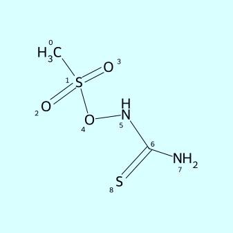 CS(=O)(=O)ONC(N)=S